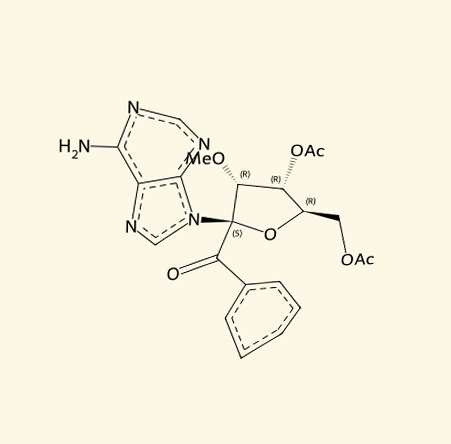 CO[C@@H]1[C@H](OC(C)=O)[C@@H](COC(C)=O)O[C@@]1(C(=O)c1ccccc1)n1cnc2c(N)ncnc21